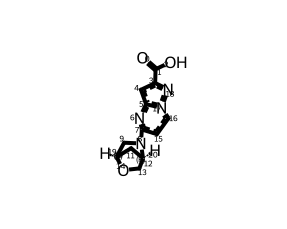 O=C(O)c1cc2nc(N3C[C@H]4C[C@@H]3CO4)ccn2n1